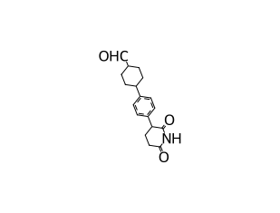 O=CC1CCC(c2ccc(C3CCC(=O)NC3=O)cc2)CC1